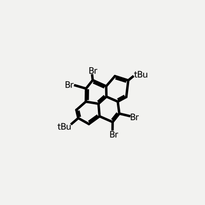 CC(C)(C)c1cc2c(Br)c(Br)c3cc(C(C)(C)C)cc4c(Br)c(Br)c(c1)c2c34